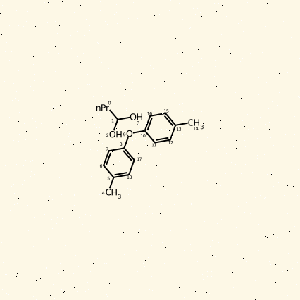 CCCC(O)O.Cc1ccc(Oc2ccc(C)cc2)cc1